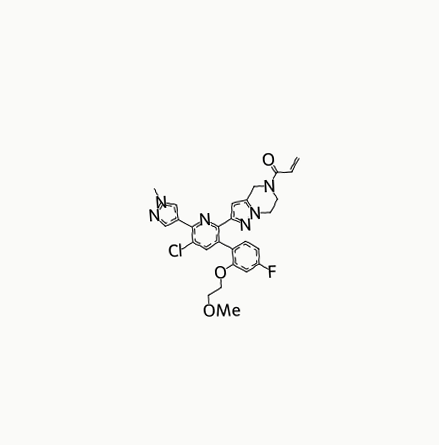 C=CC(=O)N1CCn2nc(-c3nc(-c4cnn(C)c4)c(Cl)cc3-c3ccc(F)cc3OCCOC)cc2C1